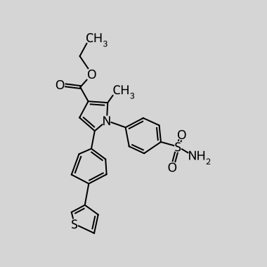 CCOC(=O)c1cc(-c2ccc(-c3ccsc3)cc2)n(-c2ccc(S(N)(=O)=O)cc2)c1C